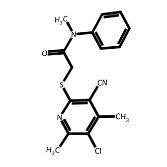 Cc1nc(SCC(=O)N(C)c2ccccc2)c(C#N)c(C)c1Cl